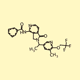 Cc1cc(C(C)N2Cc3c(ccnc3NC(=O)c3ccccc3)C2=O)cnc1OCC(F)(F)F